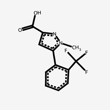 Cn1nc(C(=O)O)cc1-c1ccccc1C(F)(F)F